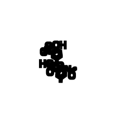 CC(=O)Nc1cc(C)cc2c(=O)c(O)c(-c3ccc(O)c([N+](=O)[O-])c3)oc12